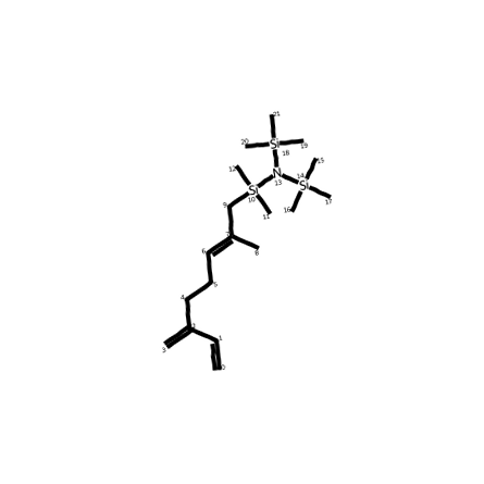 C=CC(=C)CC/C=C(\C)C[Si](C)(C)N([Si](C)(C)C)[Si](C)(C)C